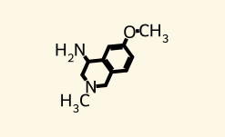 COc1ccc2c(c1)C(N)CN(C)C2